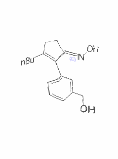 CCCCC1=C(c2cccc(CO)c2)/C(=N/O)CC1